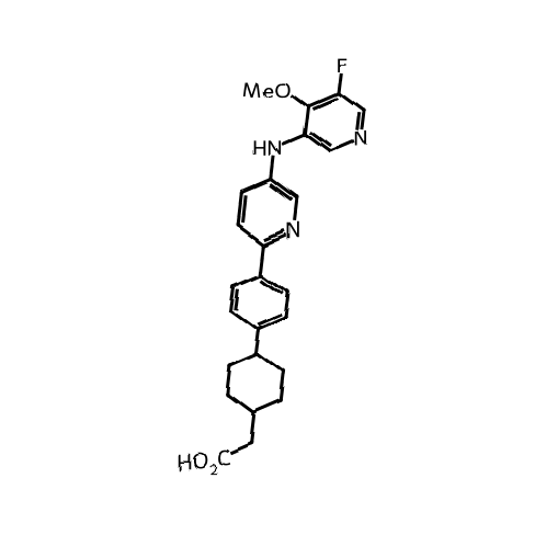 COc1c(F)cncc1Nc1ccc(-c2ccc(C3CCC(CC(=O)O)CC3)cc2)nc1